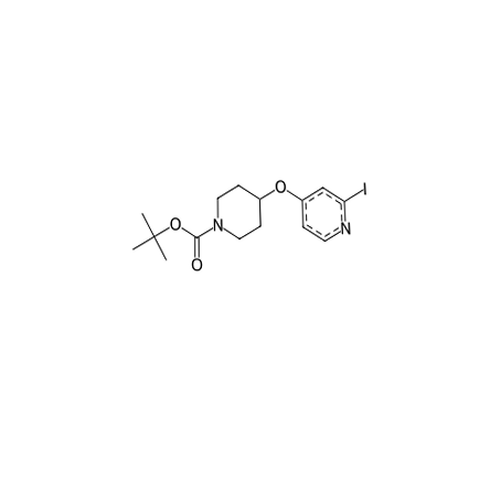 CC(C)(C)OC(=O)N1CCC(Oc2ccnc(I)c2)CC1